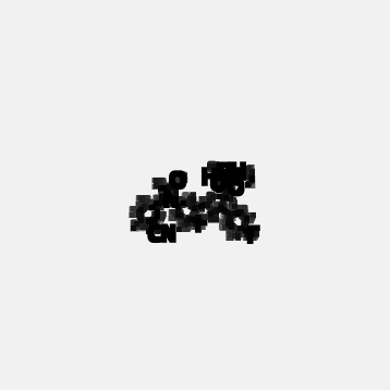 C[SiH2]OC(O[SiH2]C)C(C)(C)C(CCc1cc(N2C(=O)CC2c2cccc(C#N)c2)ccc1F)c1ccc(F)cc1